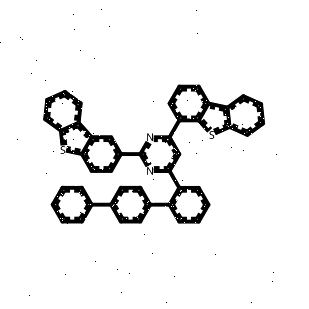 c1ccc(-c2ccc(-c3ccccc3-c3cc(-c4cccc5c4sc4ccccc45)nc(-c4ccc5sc6ccccc6c5c4)n3)cc2)cc1